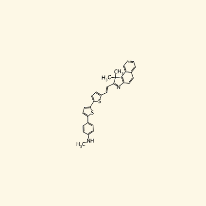 CNc1ccc(-c2ccc(-c3ccc(C=CC4=Nc5ccc6ccccc6c5C4(C)C)s3)s2)cc1